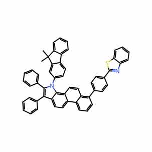 CC1(C)c2ccccc2-c2ccc(-n3c(-c4ccccc4)c(-c4ccccc4)c4ccc5c6cccc(-c7ccc(-c8nc9ccccc9s8)cc7)c6ccc5c43)cc21